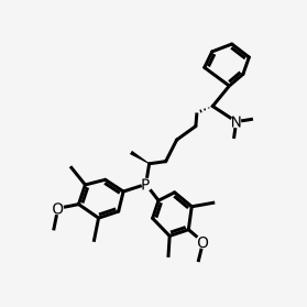 COc1c(C)cc(P(c2cc(C)c(OC)c(C)c2)[C@@H](C)CCCC[C@H](c2ccccc2)N(C)C)cc1C